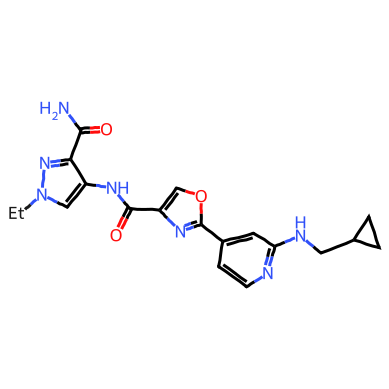 CCn1cc(NC(=O)c2coc(-c3ccnc(NCC4CC4)c3)n2)c(C(N)=O)n1